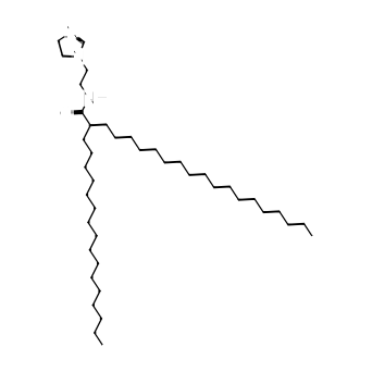 CCCCCCCCCCCCCCCCCCC(CCCCCCCCCCCCCCCC)C(=O)NCCN1C=NCC1